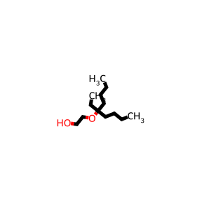 CCCCC(CC)(CCCC)OCCO